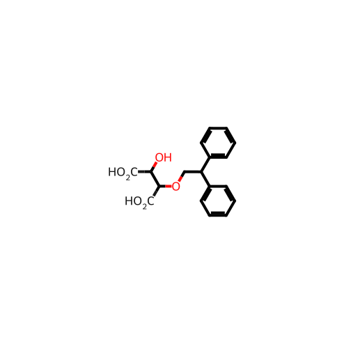 O=C(O)C(O)C(OCC(c1ccccc1)c1ccccc1)C(=O)O